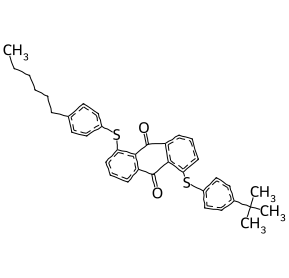 CCCCCCc1ccc(Sc2cccc3c2C(=O)c2cccc(Sc4ccc(C(C)(C)C)cc4)c2C3=O)cc1